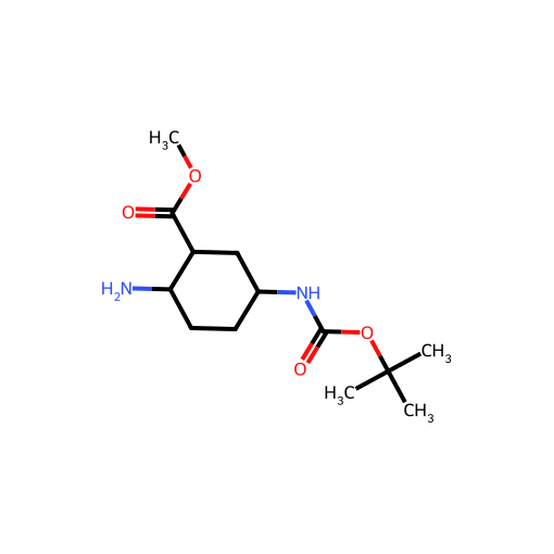 COC(=O)C1CC(NC(=O)OC(C)(C)C)CCC1N